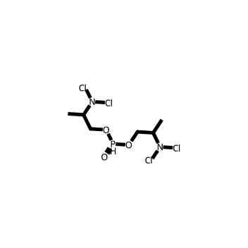 CC(CO[PH](=O)OCC(C)N(Cl)Cl)N(Cl)Cl